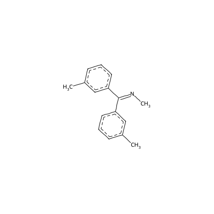 CN=C(c1cccc(C)c1)c1cccc(C)c1